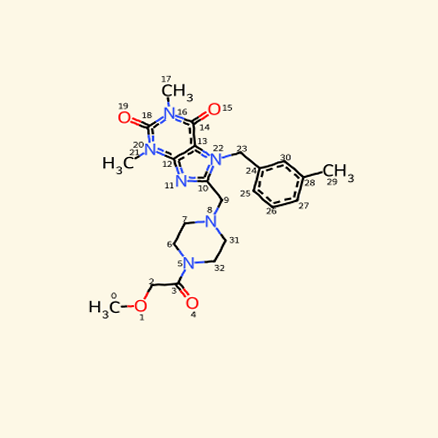 COCC(=O)N1CCN(Cc2nc3c(c(=O)n(C)c(=O)n3C)n2Cc2cccc(C)c2)CC1